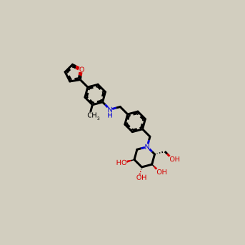 Cc1cc(-c2ccco2)ccc1NCc1ccc(CN2C[C@H](O)[C@@H](O)[C@H](O)[C@H]2CO)cc1